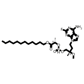 CCCCCCCCCCCCOC(=O)[C@H](C)O[PH](=O)OC[C@](C)(CCn1cnc2c(N)nc(F)nc21)OC